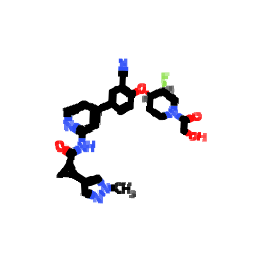 Cn1cc(C2CC2C(=O)Nc2cc(-c3ccc(O[C@H]4CCN(C(=O)CO)C[C@H]4F)c(C#N)c3)ccn2)cn1